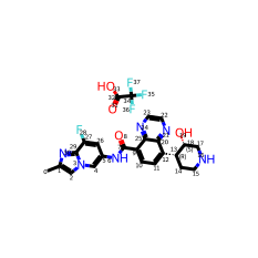 Cc1cn2cc(NC(=O)c3ccc([C@H]4CCNC[C@H]4O)c4nccnc34)cc(F)c2n1.O=C(O)C(F)(F)F